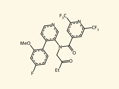 CCC(=O)CN(C(=O)c1cc(C(F)(F)F)nc(C(F)(F)F)c1)c1cnccc1-c1ccc(F)cc1OC